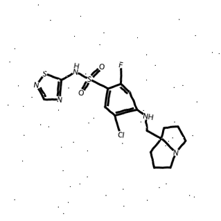 O=S(=O)(Nc1ncns1)c1cc(Cl)c(NCC23CCCN2CCC3)cc1F